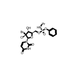 [CH2]C(C)NP(=O)(OC[C@H]1O[C@@H](n2ccc(=O)[nH]c2=O)[C@](Cl)(Br)[C@@H]1O)Oc1ccccc1